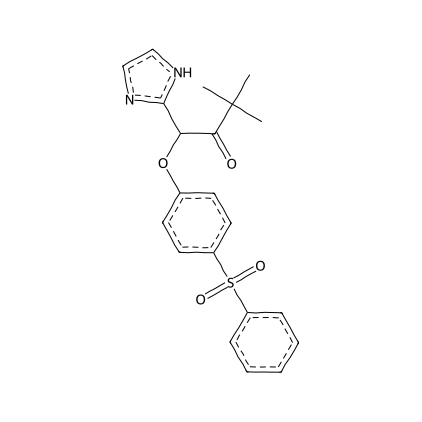 CC(C)(C)C(=O)C(Oc1ccc(S(=O)(=O)c2ccccc2)cc1)c1ncc[nH]1